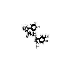 O=C(NCCc1c[nH]c2ccc(Cl)cc12)c1nocc1-c1ccccc1